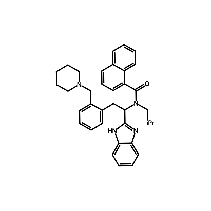 CC(C)CN(C(=O)c1cccc2ccccc12)C(Cc1ccccc1CN1CCCCC1)c1nc2ccccc2[nH]1